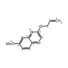 C=CCOc1cnc2ccc(OC)cc2n1